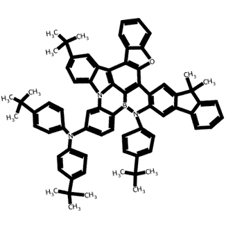 CC(C)(C)c1ccc(N2B3c4ccc(N(c5ccc(C(C)(C)C)cc5)c5ccc(C(C)(C)C)cc5)cc4-n4c5ccc(C(C)(C)C)cc5c5c6c(oc7ccccc76)c(c3c54)-c3cc4c(cc32)-c2ccccc2C4(C)C)cc1